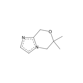 CC1(C)Cn2ccnc2CO1